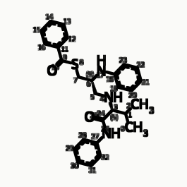 CC(C)[C@H](NC[C@@H](CSC(=O)c1ccccc1)Nc1ccccc1)C(=O)Nc1ccccc1